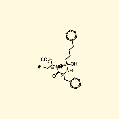 CC(C)C[C@H](NC(=O)[C@H](Cc1ccccc1)NP(=O)(O)CCCCc1ccccc1)C(=O)O